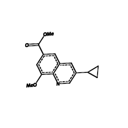 COC(=O)c1cc(OC)c2ncc(C3CC3)cc2c1